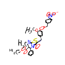 CCOC(=O)C1C(C)N=c2s/c(=C\c3ccc(OCc4ccc([N+](=O)[O-])cc4)c(OCC)c3)c(=O)n2C1c1ccccc1